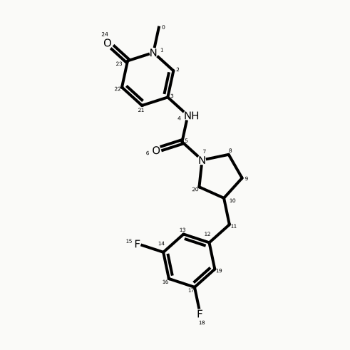 Cn1cc(NC(=O)N2CCC(Cc3cc(F)cc(F)c3)C2)ccc1=O